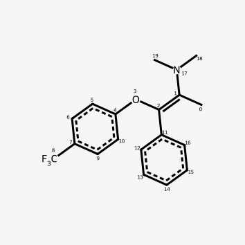 CC(=C(Oc1ccc(C(F)(F)F)cc1)c1ccccc1)N(C)C